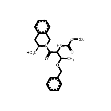 CC(OCc1ccccc1)C(NC(=O)OC(C)(C)C)C(=O)N1Cc2ccccc2C[C@@H]1C(=O)O